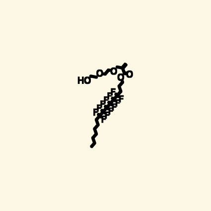 C=C(COCCOCCO)C(=O)OCCCC(F)(F)C(F)(F)C(F)(F)C(F)(F)C(F)(F)C(F)(F)CCCCCCC